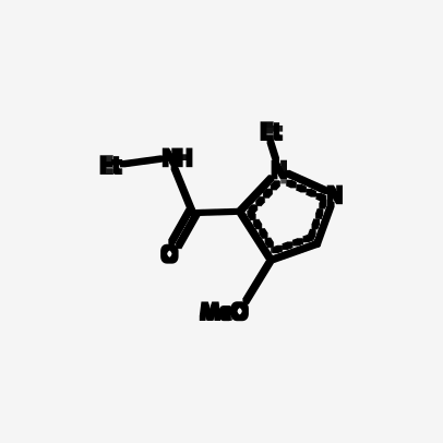 CCNC(=O)c1c(OC)cnn1CC